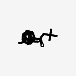 CC(C)(C)CC(=O)[C]12[CH]3[CH]4[C]5(C)[CH]1[Fe]43521678[CH]2[CH]1[CH]6[C]7(C)[CH]28